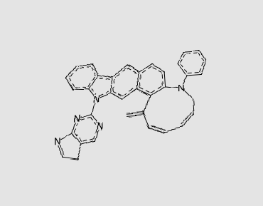 C=C1/C=C\C=C/CN(c2ccccc2)c2ccc3cc4c5ccccc5n(-c5ncc6c(n5)N=CC6)c4cc3c21